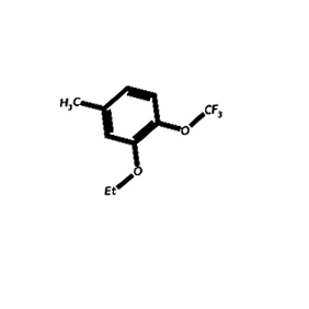 CCOc1cc(C)ccc1OC(F)(F)F